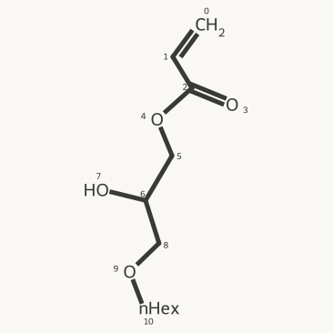 C=CC(=O)OCC(O)COCCCCCC